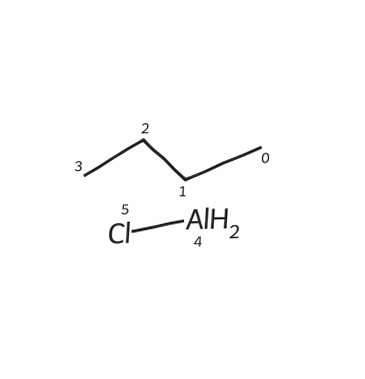 CCCC.[AlH2][Cl]